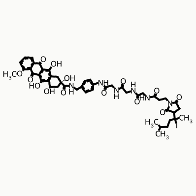 COc1cccc2c1C(=O)c1c(O)c3c(c(O)c1C2=O)C[C@@](O)(C(=O)NCc1ccc(NC(=O)CNC(=O)CNC(=O)CNC(=O)CCN2C(=O)CC(C(C)(I)CCC(C)C)C2=O)cc1)C[C@@H]3O